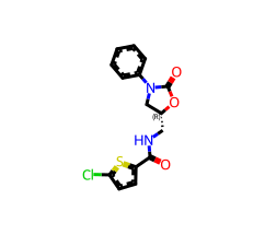 O=C(NC[C@@H]1CN(c2ccccc2)C(=O)O1)c1ccc(Cl)s1